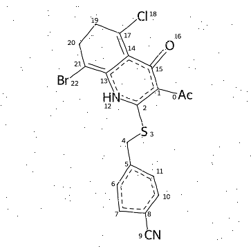 CC(=O)c1c(SCc2ccc(C#N)cc2)[nH]c2c(c1=O)=C(Cl)CCC=2Br